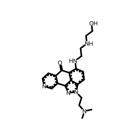 CN(C)CCn1nc2c3c(c(NCCNCCO)ccc31)C(=O)c1ccncc1-2